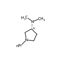 CCCN1CC[C@@H](N(C)C)C1